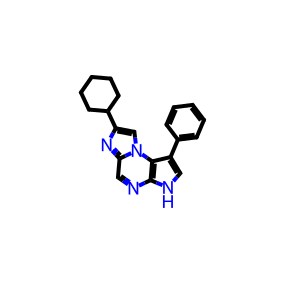 c1ccc(-c2c[nH]c3ncc4nc(C5CCCCC5)cn4c23)cc1